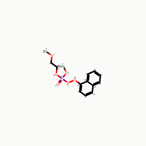 CCCCCCCCCOP(=O)(OCCOCC)OOc1cccc2ccccc12